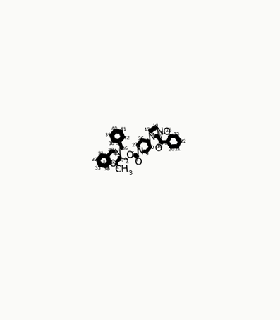 CC(C)[C@@H](COC(=O)N1CCC(n2ccnc2C(=O)C2C=CC=CC2=O)CC1)N(Cc1ccccc1)Cc1ccccc1